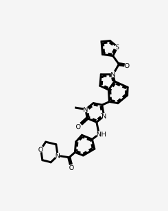 Cn1cc(-c2cccc3c2ccn3C(=O)c2cccs2)nc(Nc2ccc(C(=O)N3CCOCC3)cc2)c1=O